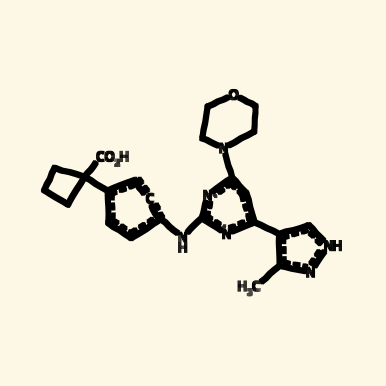 Cc1n[nH]cc1-c1cc(N2CCOCC2)nc(Nc2ccc(C3(C(=O)O)CCC3)cc2)n1